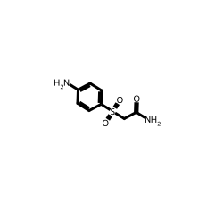 NC(=O)CS(=O)(=O)c1ccc(N)cc1